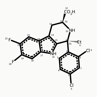 CC[C@@]1(c2ccc(Cl)cc2Cl)N[C@H](C(=O)O)Cc2c1[nH]c1cc(F)c(F)cc21